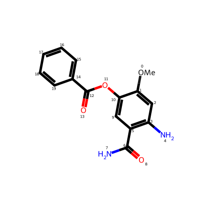 COc1cc(N)c(C(N)=O)cc1OC(=O)c1ccccc1